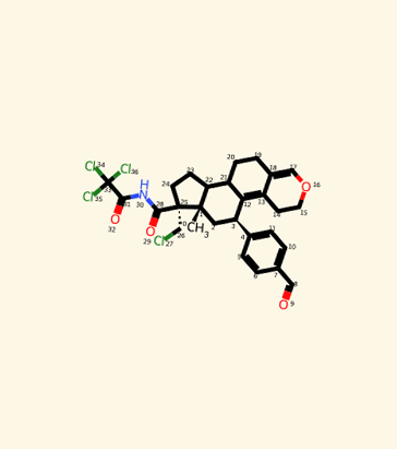 C[C@]12C[C@H](c3ccc(C=O)cc3)C3=C4CCOC=C4CCC3C1CC[C@]2(CCl)C(=O)NC(=O)C(Cl)(Cl)Cl